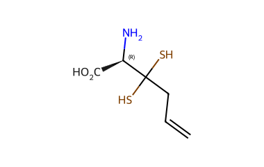 C=CCC(S)(S)[C@H](N)C(=O)O